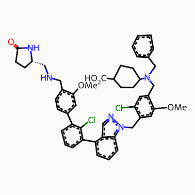 COc1cc(-c2cccc(-c3cccc4c3cnn4Cc3cc(OC)c(CN(Cc4ccccc4)C4CCC(C(=O)O)CC4)cc3Cl)c2Cl)ccc1CNC[C@@H]1CCC(=O)N1